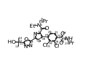 CCCN(CC)C(=O)c1nc(-c2nnc(C(C)(C)O)o2)sc1-c1ccc(S(=O)(=O)NC(C)C)c(Cl)c1Cl